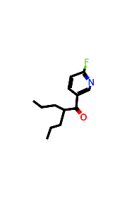 CCCC(CCC)C(=O)c1ccc(F)nc1